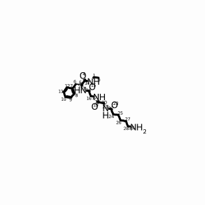 CCNC(=O)[C@H](Cc1ccccc1)NC(=O)CNC(=O)CNC(=O)CCCCCN